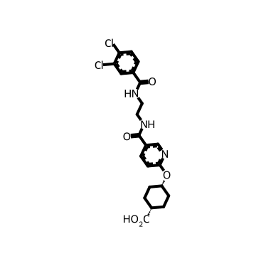 O=C(NCCNC(=O)c1ccc(Cl)c(Cl)c1)c1ccc(O[C@H]2CC[C@@H](C(=O)O)CC2)nc1